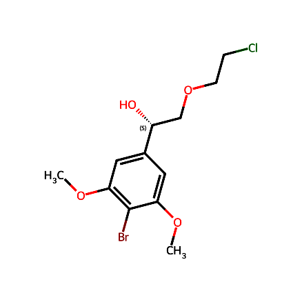 COc1cc([C@H](O)COCCCl)cc(OC)c1Br